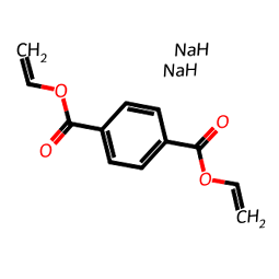 C=COC(=O)c1ccc(C(=O)OC=C)cc1.[NaH].[NaH]